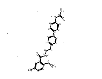 COc1ccc(Cl)cc1C(=O)NCCc1ccc(-c2ccc(CC(=O)O)cc2)cc1